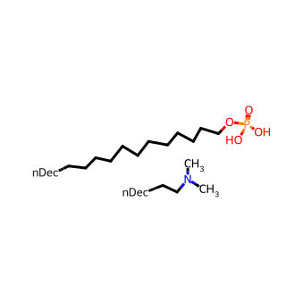 CCCCCCCCCCCCCCCCCCCCCCOP(=O)(O)O.CCCCCCCCCCCCN(C)C